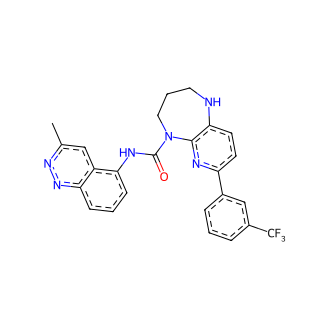 Cc1cc2c(NC(=O)N3CCCNc4ccc(-c5cccc(C(F)(F)F)c5)nc43)cccc2nn1